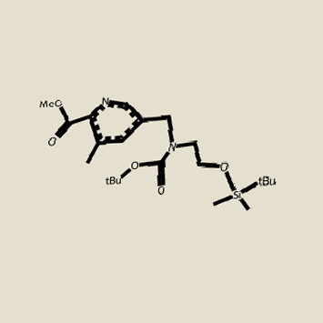 COC(=O)c1ncc(CN(CCO[Si](C)(C)C(C)(C)C)C(=O)OC(C)(C)C)cc1C